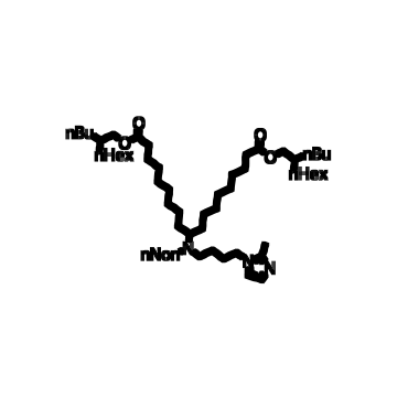 CCCCCCCCCN(CCCCn1ccnc1C)C(CCCCCCCCC(=O)OCC(CCCC)CCCCCC)CCCCCCCCC(=O)OCC(CCCC)CCCCCC